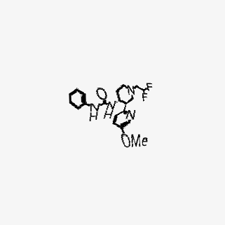 COc1ccc([C@@H]2CN(CC(F)F)CC[C@H]2NC(=O)Nc2ccccc2)nc1